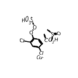 CC(=O)O.CS(C)=O.O=S(=O)(O)OOc1ccc(Cl)cc1Cl.[Cu]